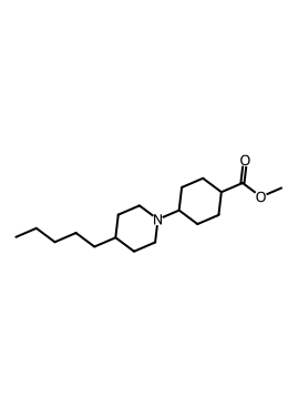 CCCCCC1CCN(C2CCC(C(=O)OC)CC2)CC1